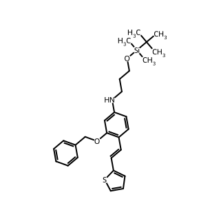 CC(C)(C)[Si](C)(C)OCCCNc1ccc(C=Cc2cccs2)c(OCc2ccccc2)c1